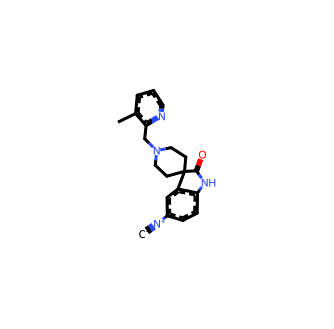 [C-]#[N+]c1ccc2c(c1)C1(CCN(Cc3ncccc3C)CC1)C(=O)N2